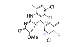 C=C/C=C(\C=C(\Cl)CF)Cn1cc(OC)c(=O)nc1Nc1cc(Cl)c(Cl)cc1C